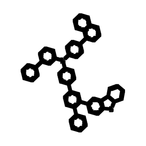 C1=CC2Sc3ccc(-c4cc(-c5ccc(N(c6ccc(-c7cccc8ccccc78)cc6)c6cccc(-c7ccccc7)c6)cc5)ccc4-c4ccccc4)cc3C2C=C1